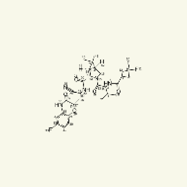 CC(C)[C@H](NC(=O)C1CC(F)(F)C1)C(=O)N1C[C@H]2[C@@H]([C@H]1C(=O)N[C@H](C#N)C[C@@H]1Oc3ccc(F)cc3NC1=O)C2(C)C